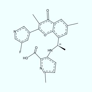 Cc1cc([C@@H](C)Nc2ccc(C)nc2C(=O)O)c2oc(-c3cncc(F)c3)c(C)c(=O)c2c1